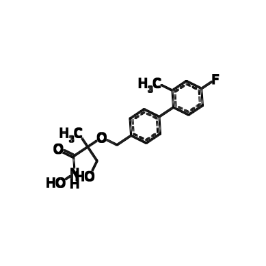 Cc1cc(F)ccc1-c1ccc(COC(C)(CO)C(=O)NO)cc1